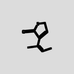 C/C=C(/C)C1=CCSC1=O